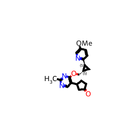 COc1ccc([C@H]2C[C@@H]2COc2nc(C)ncc2C2CCC(=O)C2)nc1